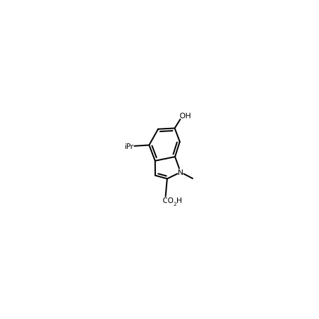 CC(C)c1cc(O)cc2c1cc(C(=O)O)n2C